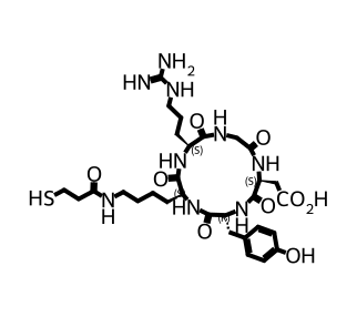 N=C(N)NCCC[C@@H]1NC(=O)[C@H](CCCCNC(=O)CCS)NC(=O)[C@@H](Cc2ccc(O)cc2)NC(=O)[C@H](CC(=O)O)NC(=O)CNC1=O